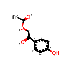 CC(C)C(=O)OCC(=O)c1ccc(O)cc1